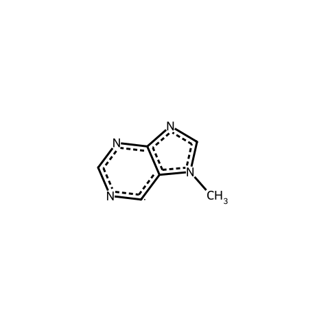 Cn1cnc2ncn[c]c21